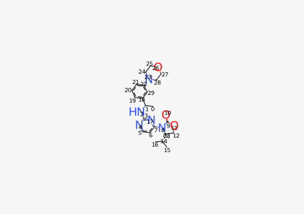 CC(Nc1nccc(N2C(=O)OC[C@@H]2C(C)C)n1)c1cccc(N2CCOCC2)c1